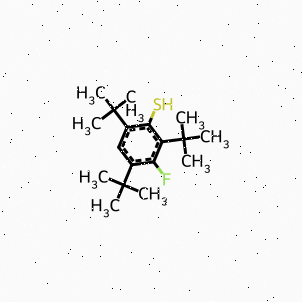 CC(C)(C)c1cc(C(C)(C)C)c(S)c(C(C)(C)C)c1F